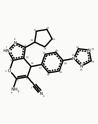 N#CC1=C(N)Oc2[nH]nc(C3CCCC3)c2C1c1ccc(-n2cncn2)cc1